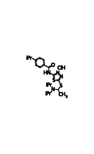 CC(C)c1ccc(C(=O)Nc2nnc(SC(C)N(C(C)C)C(C)C)s2)cc1.Cl